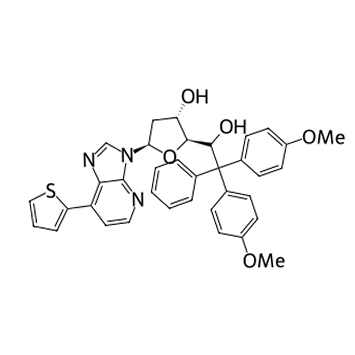 COc1ccc(C(c2ccccc2)(c2ccc(OC)cc2)C(O)[C@H]2O[C@@H](n3cnc4c(-c5cccs5)ccnc43)C[C@@H]2O)cc1